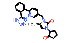 CCCCc1cn(C2CCCC2=O)c(=O)n1Cc1ccc(-c2ccccc2-c2nnn[nH]2)nc1